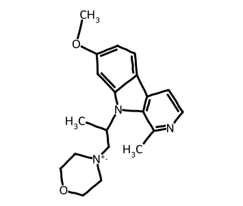 COc1ccc2c3ccnc(C)c3n(C(C)C[N+]3CCOCC3)c2c1